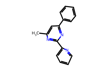 Cc1cc(-c2ccccc2)nc(-c2ccccn2)n1